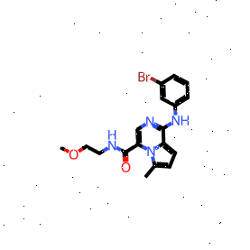 COCCNC(=O)c1cnc(Nc2cccc(Br)c2)c2ccc(C)n12